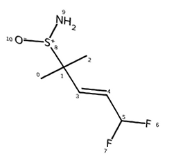 CC(C)(C=CC(F)F)[S+](N)[O-]